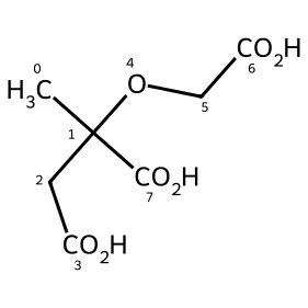 CC(CC(=O)O)(OCC(=O)O)C(=O)O